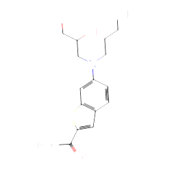 CCCCN(CC(O)CO)c1ccc2cc(C(C)=O)sc2c1